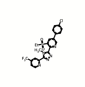 CCS(=O)(=O)c1cc(-c2ccc(Cl)cc2)cnc1-c1nnc(-c2cc(C(F)(F)F)ccn2)n1C